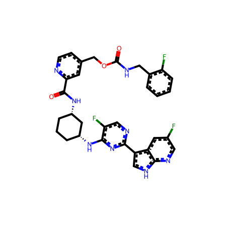 O=C(NCc1ccccc1F)OCc1ccnc(C(=O)N[C@H]2CCC[C@@H](Nc3nc(-c4c[nH]c5ncc(F)cc45)ncc3F)C2)c1